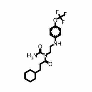 NC(=O)N(CCNc1ccc(OC(F)(F)F)cc1)C(=O)[CH]CC1CCCCC1